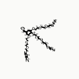 [N-]=[N+]=NCCOCCOCCOc1cc(C=O)cc(OCCOCCOCCN=[N+]=[N-])c1OCCOCCOCCN=[N+]=[N-]